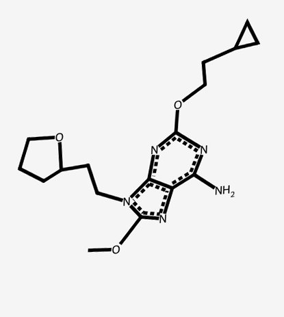 COc1nc2c(N)nc(OCCC3CC3)nc2n1CCC1CCCO1